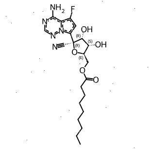 CCCCCCCCC(=O)OC[C@H]1O[C@@](C#N)(c2cc(F)c3c(N)ncnn23)[C@H](O)[C@@H]1O